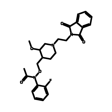 COC1CN(CCN2C(=O)c3ccccc3C2=O)CCC1CON(C(C)=O)c1ccccc1F